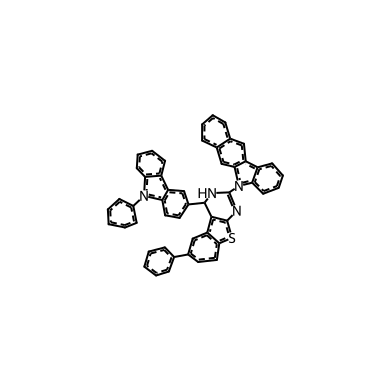 c1ccc(-c2ccc3sc4c(c3c2)C(c2ccc3c(c2)c2ccccc2n3-c2ccccc2)NC(n2c3ccccc3c3cc5ccccc5cc32)=N4)cc1